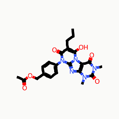 CCCc1c(O)n2c3c(=O)n(C)c(=O)n(C)c3nc2n(-c2ccc(COC(C)=O)cc2)c1=O